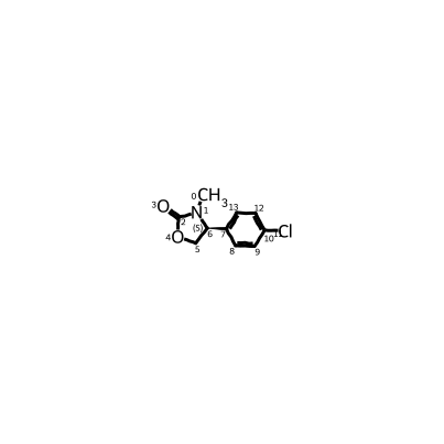 CN1C(=O)OC[C@@H]1c1ccc(Cl)cc1